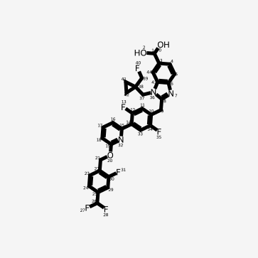 OC(O)c1ccc2nc(Cc3cc(F)c(-c4cccc(OCc5ccc(C(F)F)cc5F)n4)cc3F)n(CC3(CF)CC3)c2c1